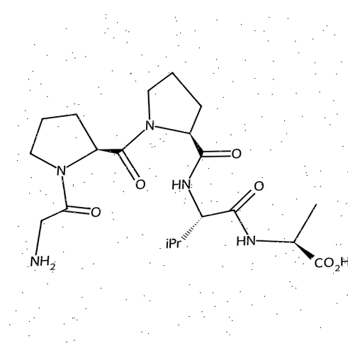 CC(C)[C@H](NC(=O)[C@@H]1CCCN1C(=O)[C@@H]1CCCN1C(=O)CN)C(=O)N[C@@H](C)C(=O)O